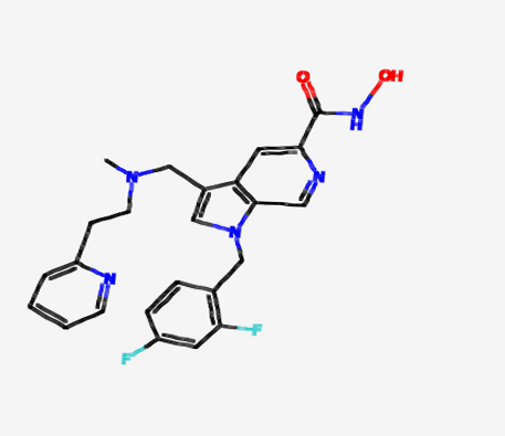 CN(CCc1ccccn1)Cc1cn(Cc2ccc(F)cc2F)c2cnc(C(=O)NO)cc12